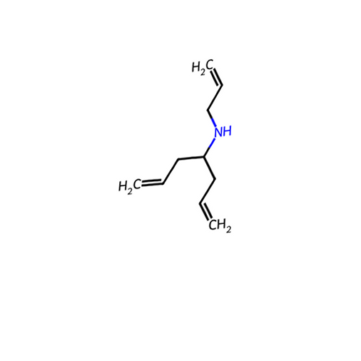 C=CCNC(CC=C)CC=C